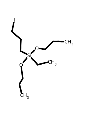 CCCO[Si](CC)(CCCI)OCCC